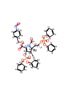 C[C@@H](OP(=O)(Oc1ccccc1)Oc1ccccc1)[C@H]1C(=O)N2C(C(=O)OCc3ccc(N=O)cc3)=C(OP(=O)(Oc3ccccc3)Oc3ccccc3)[C@H](C)[C@H]12